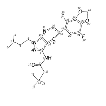 CC(C)CCn1nc(NC(=O)CC(C)(C)C)c2cc(-c3cc(F)c4c(c3F)OCO4)cnc21